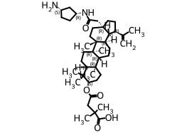 C=C(C)[C@@H]1CC[C@]2(CC(=O)N[C@@H]3CC[C@H](N)C3)CC[C@]3(C)[C@H](CC[C@@H]4[C@@]5(C)CC[C@H](OC(=O)CC(C)(C)C(=O)O)C(C)(C)[C@@H]5CC[C@]43C)[C@@H]12